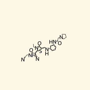 CCn1c(=C(C#N)C(=O)NCC#N)sc(=CNc2cccc(NC(=O)CN3CCCC3)c2)c1=O